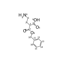 NCCC(C(=O)O)C(=O)OCc1ccccc1